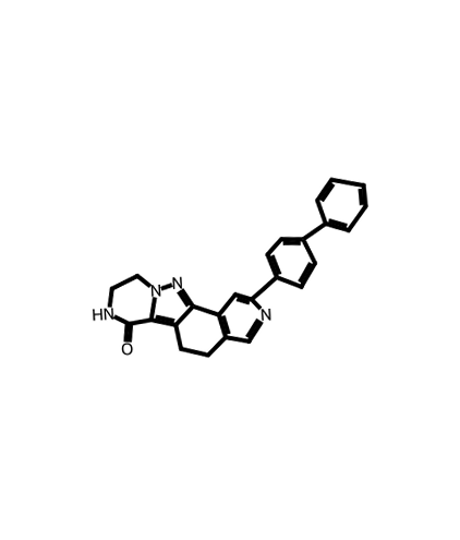 O=C1NCCn2nc3c(c21)CCc1cnc(-c2ccc(-c4ccccc4)cc2)cc1-3